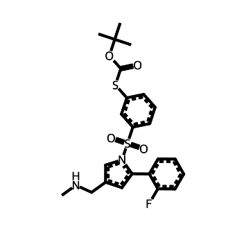 CNCc1cc(-c2ccccc2F)n(S(=O)(=O)c2cccc(SC(=O)OC(C)(C)C)c2)c1